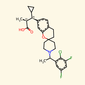 CC(c1cc(F)cc(F)c1Cl)N1CCC2(CCc3ccc([C@H](C4CC4)[C@H](C)C(=O)O)cc3O2)CC1